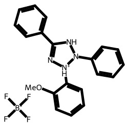 COc1ccccc1[NH+]1N=C(c2ccccc2)NN1c1ccccc1.F[B-](F)(F)F